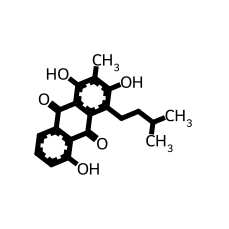 Cc1c(O)c(CCC(C)C)c2c(c1O)C(=O)c1cccc(O)c1C2=O